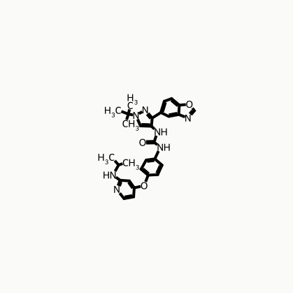 CC(C)Nc1cc(Oc2ccc(NC(=O)Nc3cn(C(C)(C)C)nc3-c3ccc4ocnc4c3)cc2)ccn1